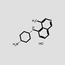 Cc1cncc2cccc(N[C@H]3CC[C@@H](N)CC3)c12.Cl